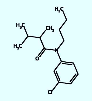 CCCCN(C(=O)C(C)C(C)C)c1cccc(Cl)c1